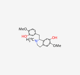 COc1ccc(CC2=[N+]([14CH3])CCc3cc(OC)c(O)cc32)cc1O